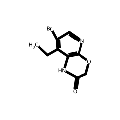 CCc1c(Br)cnc2c1NC(=O)CO2